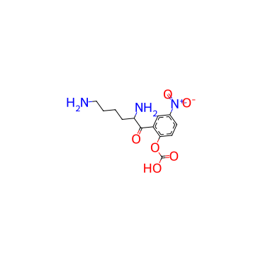 NCCCCC(N)C(=O)c1cc([N+](=O)[O-])ccc1OC(=O)O